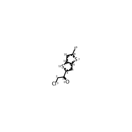 O=C(CCl)c1cc2sc(I)cc2s1